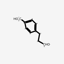 O=[C]CCc1ccc(C(=O)O)cc1